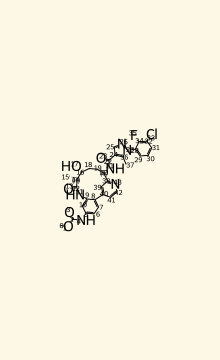 COC(=O)Nc1ccc2c(c1)NC(=O)[C@H](C)C(O)CC[C@H](NC(=O)c1cnn(-c3cccc(Cl)c3F)c1C)c1cc-2ccn1